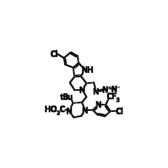 CC(C)(C)C1C(CN2CCc3c([nH]c4ccc(Cl)cc34)C2CN=[N+]=[N-])N(c2ccc(Cl)c(C(F)(F)F)n2)CCN1C(=O)O